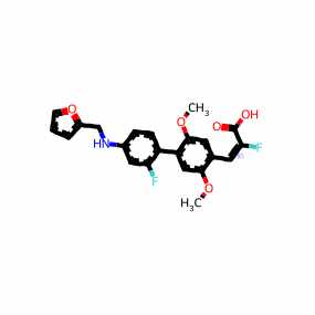 COc1cc(-c2ccc(NCc3ccco3)cc2F)c(OC)cc1/C=C(/F)C(=O)O